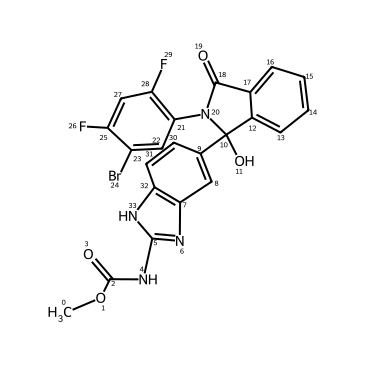 COC(=O)Nc1nc2cc(C3(O)c4ccccc4C(=O)N3c3cc(Br)c(F)cc3F)ccc2[nH]1